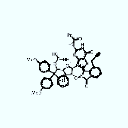 C#CCc1cccc2c1C(=O)N(O[C@@H]1[C@H](O)[C@@H](C(OP(N)O)C(c3ccccc3)(c3ccc(OC)cc3)c3ccc(OC)cc3)O[C@H]1n1cnc3c(=O)[nH]c(NC(=O)C(C)C)nc31)C2=O